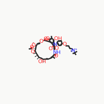 CO[C@H]1/C=C/O[C@@]2(C)Oc3c(C)c(O)c4c(=O)c(c5oc6cc(OCCCC[N+](C)(C)C(C)(C)C)ccc6nc-5c4c3C2=O)NC(=O)/C(C)=C\C=C\[C@H](C)[C@H](O)[C@@H](C)[C@@H](C)[C@@H](C)[C@H](OC(C)=O)[C@@H]1C